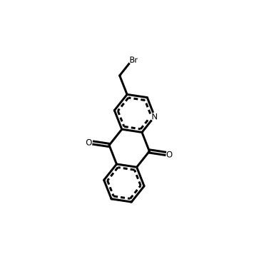 O=C1c2ccccc2C(=O)c2ncc(CBr)cc21